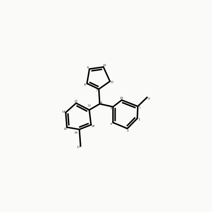 Cc1cccc(C(C2=CC=CC2)c2cccc(C)c2)c1